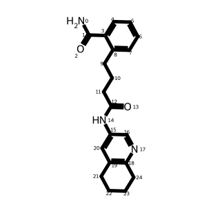 NC(=O)c1ccccc1CC[CH]C(=O)Nc1cnc2c(c1)CCCC2